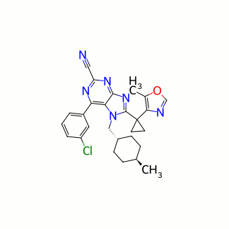 Cc1ocnc1C1(c2nc3nc(C#N)nc(-c4cccc(Cl)c4)c3n2C[C@H]2CC[C@H](C)CC2)CC1